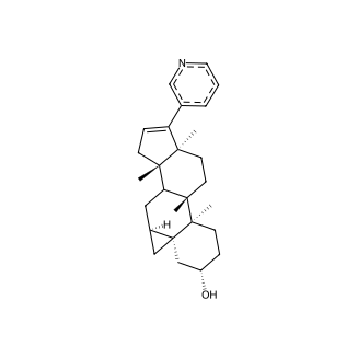 C[C@]12CC[C@H](O)C[C@@]13C[C@H]3CC1[C@]2(C)CC[C@]2(C)C(c3cccnc3)=CC[C@@]12C